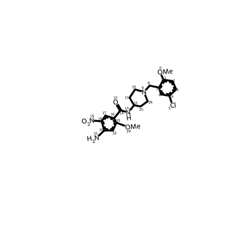 COc1ccc(Cl)cc1CN1CCC(NC(=O)c2cc([N+](=O)[O-])c(N)cc2OC)CC1